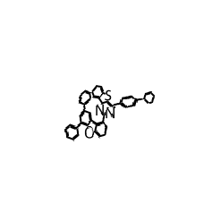 c1ccc(-c2ccc(-c3nc(-c4cccc5oc6c(-c7ccccc7)cc(-c7ccccc7)cc6c45)nc4c3sc3ccccc34)cc2)cc1